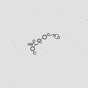 O=C1Nc2ccc(Cl)cc2/C1=C/c1ccc(-c2ccc(OCCN3CCOCC3)cc2)o1